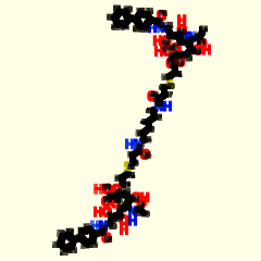 CC(=O)N[C@@H]1[C@H]([C@H](O)[C@@H](O)CNC(=O)c2ccc(-c3ccccc3)cc2)O[C@@](OCCCSCCC(=O)NCCCCCCNC(=O)CCSCCCO[C@]2(C(=O)O)C[C@H](O)[C@@H](NC(C)=O)[C@H]([C@H](O)[C@H](O)CNC(=O)c3ccc(-c4ccccc4)cc3)O2)(C(=O)O)C[C@H]1O